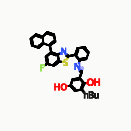 CCCCc1cc(O)cc(/C=N/c2ccccc2-c2nc3c(-c4cccc5ccccc45)cc(F)cc3s2)c1O